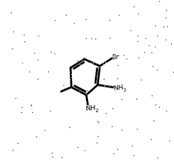 Cc1ccc(Br)c(N)c1N